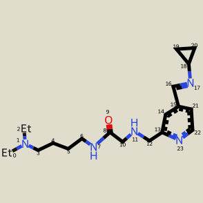 CCN(CC)CCCCNC(=O)CNCc1cc(C=NC2CC2)ccn1